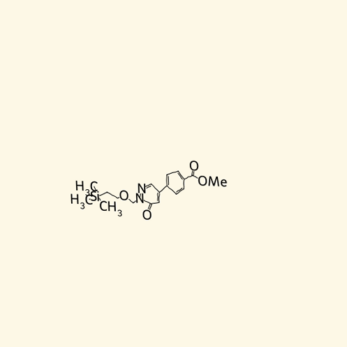 COC(=O)c1ccc(-c2cnn(COCC[Si](C)(C)C)c(=O)c2)cc1